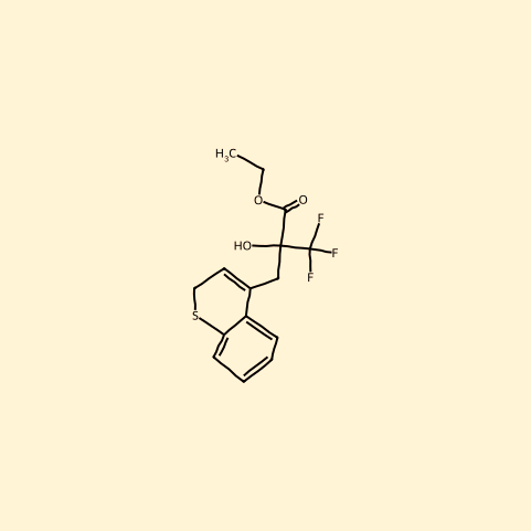 CCOC(=O)C(O)(CC1=CCSc2ccccc21)C(F)(F)F